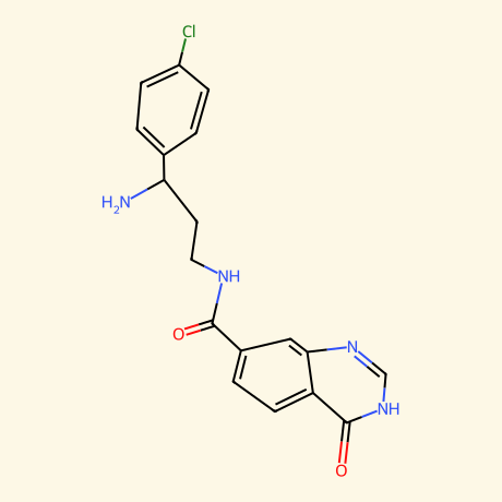 NC(CCNC(=O)c1ccc2c(=O)[nH]cnc2c1)c1ccc(Cl)cc1